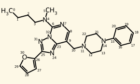 CCCCN(C)c1ncc(CN2CCN(c3ccccc3)CC2)c2nc(-c3ccco3)nn12